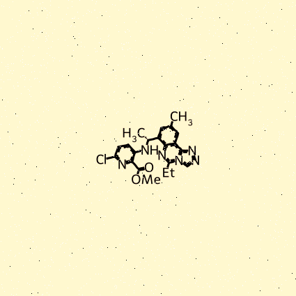 CCc1nc2c([C@@H](C)Nc3ccc(Cl)nc3C(=O)OC)cc(C)cc2c2nncn12